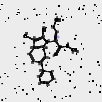 COC(=O)/C(=C/CO)n1c(Cl)c(Cl)c2ccc(-c3ccccc3)cc21